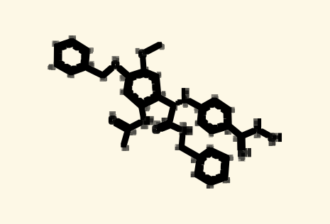 COc1cc([C@H](Nc2ccc(C(=N)NO)cc2)C(=O)NCc2ccccc2)c(NC(C)=O)cc1OCc1ccccc1